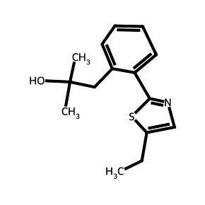 CCc1cnc(-c2ccccc2CC(C)(C)O)s1